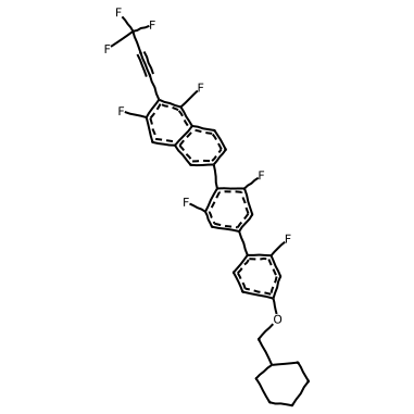 Fc1cc(OCC2CCCCC2)ccc1-c1cc(F)c(-c2ccc3c(F)c(C#CC(F)(F)F)c(F)cc3c2)c(F)c1